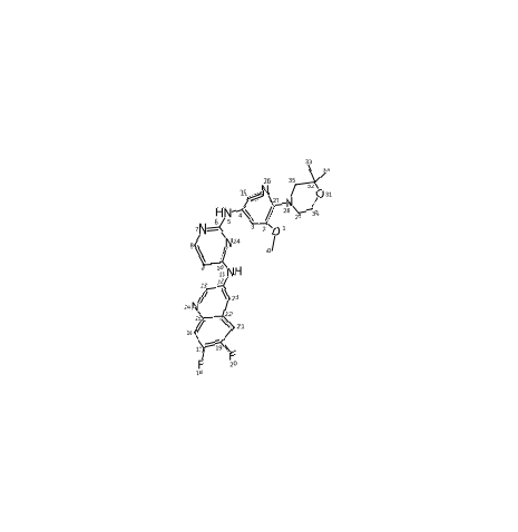 COc1cc(Nc2nccc(Nc3cnc4cc(F)c(F)cc4c3)n2)cnc1N1CCOC(C)(C)C1